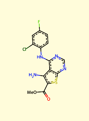 COC(=O)c1sc2ncnc(Nc3ccc(F)cc3Cl)c2c1N